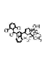 CC(C)(C)C1CC(c2cc(C(=O)c3c(Cl)cccc3Cl)n3ccccc23)=CCN1C(=O)O